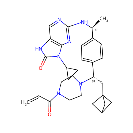 C=CC(=O)N1CCN([C@@H](CC23CC(C2)C3)c2ccc([C@H](C)Nc3ncc4[nH]c(=O)n(C5CC5)c4n3)cc2)CC1